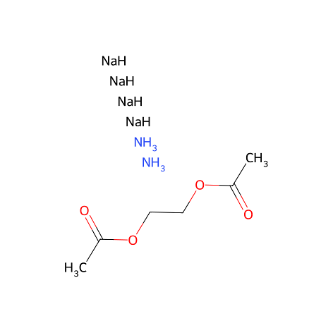 CC(=O)OCCOC(C)=O.N.N.[NaH].[NaH].[NaH].[NaH]